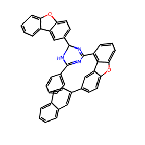 c1ccc(C2=NC(c3cccc4oc5ccc(-c6ccc7ccccc7c6)cc5c34)=NC(c3ccc4oc5ccccc5c4c3)N2)cc1